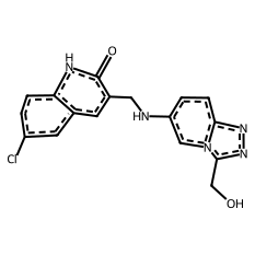 O=c1[nH]c2ccc(Cl)cc2cc1CNc1ccc2nnc(CO)n2c1